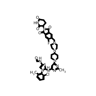 Cc1nc(NC2SC(NC=O)=CN2c2c(C)cccc2Cl)cc(N2CCC(N3CCN(Cc4cc5c(cc4F)C(=O)N(C4CCC(=O)NC4=O)C5=O)CC3)CC2)n1